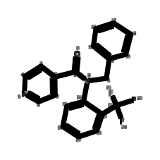 O=C(c1ccncc1)N(Cc1ccccc1)c1ccccc1C(F)(F)F